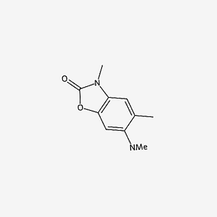 CNc1cc2oc(=O)n(C)c2cc1C